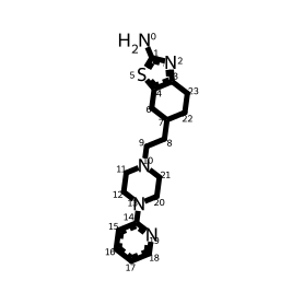 Nc1nc2c(s1)CC(CCN1CCN(c3ccccn3)CC1)CC2